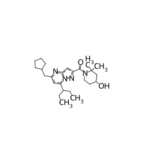 CCC(CC)c1cc(CC2CCCC2)nc2cc(C(=O)N3CCC(O)CC3(C)C)nn12